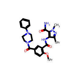 CCCOc1ccc(C(=O)N2CCN(c3ccccc3)CC2)cc1C(=O)Nc1c(CCC)nn(C)c1C(N)=O